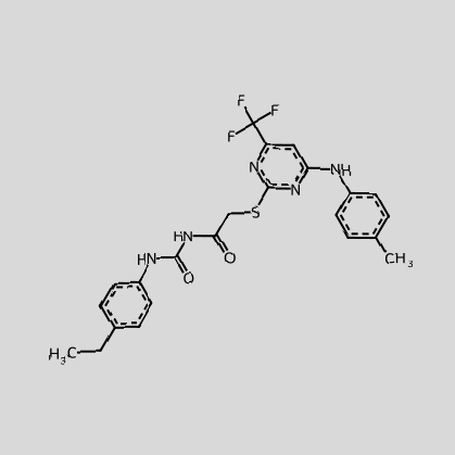 CCc1ccc(NC(=O)NC(=O)CSc2nc(Nc3ccc(C)cc3)cc(C(F)(F)F)n2)cc1